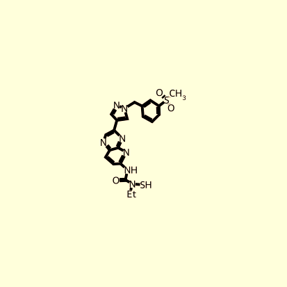 CCN(S)C(=O)Nc1ccc2ncc(-c3cnn(Cc4cccc(S(C)(=O)=O)c4)c3)nc2n1